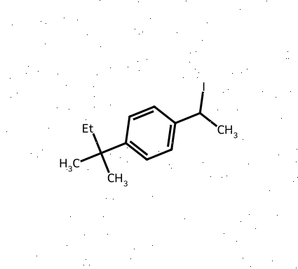 CCC(C)(C)c1ccc(C(C)I)cc1